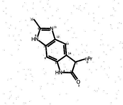 CCCC1C(=O)Nc2cc3[nH]c(C)nc3cc21